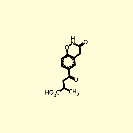 CC(CC(=O)c1ccc2c(c1)CC(=O)NO2)C(=O)O